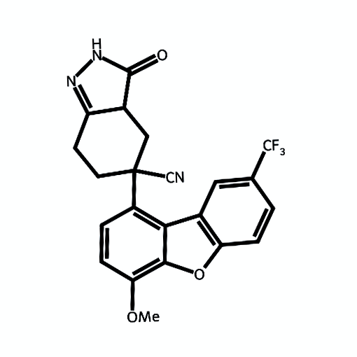 COc1ccc(C2(C#N)CCC3=NNC(=O)C3C2)c2c1oc1ccc(C(F)(F)F)cc12